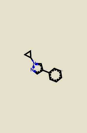 [c]1cccc(-c2cnn(C3CC3)c2)c1